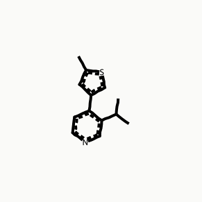 Cc1cc(-c2ccncc2C(C)C)cs1